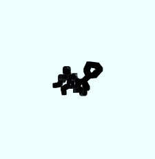 CCOP(=O)(OCC)Sc1nocc1-c1ccccc1